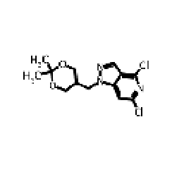 CC1(C)OCC(Cn2ncc3c(Cl)nc(Cl)cc32)CO1